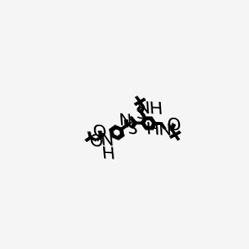 CC(C)OC(=O)Nc1ccc(-c2ncc(-c3ccc(CNC(=O)C(C)(C)C)cc3SNC(C)(C)C)s2)cc1